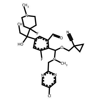 CCC(O)(c1cc(F)c(C(OCC2(C#N)CC2)N(C)Cc2ncc(Cl)cn2)c(C=O)c1)C1(F)CCN(C)CC1